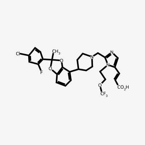 CC1(c2ccc(Cl)cc2F)Oc2cccc(C3CCN(Cc4ncc(C=CC(=O)O)n4CCOC(F)(F)F)CC3)c2O1